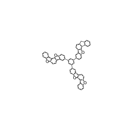 c1ccc2c(c1)Cc1ccc3c(oc4ccc(-c5cc(-c6ccc7oc8c(ccc9oc%10ccccc%10c98)c7c6)cc(-c6ccc7oc8c(ccc9oc%10ccccc%10c98)c7c6)c5)cc43)c1-2